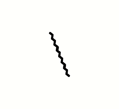 CCCC=CCCCCC=CCCCCC